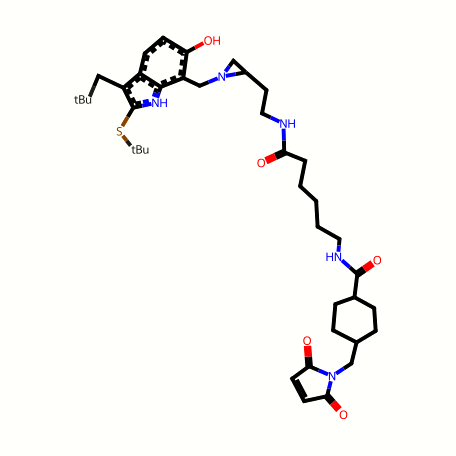 CC(C)(C)Cc1c(SC(C)(C)C)[nH]c2c(CN3CC3CCNC(=O)CCCCCNC(=O)C3CCC(CN4C(=O)C=CC4=O)CC3)c(O)ccc12